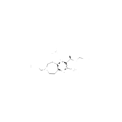 CCOC(=O)c1nc2c(nc1N)CCN(CC)CC2.Cl.Cl